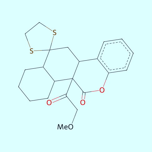 COCC(=O)C12C(=O)Oc3ccccc3C1CC1(SCCS1)C1CCCCC12